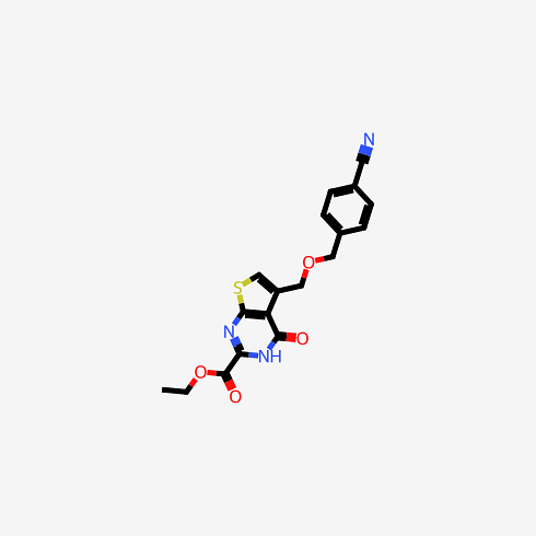 CCOC(=O)c1nc2scc(COCc3ccc(C#N)cc3)c2c(=O)[nH]1